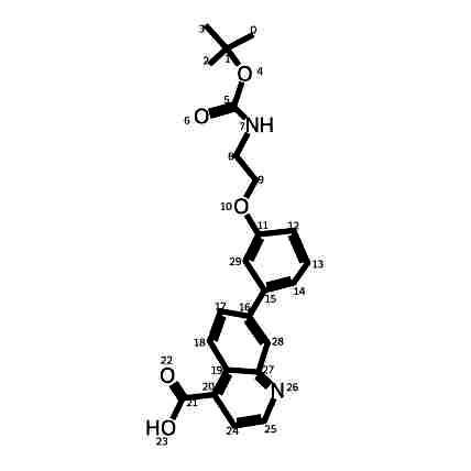 CC(C)(C)OC(=O)NCCOc1cccc(-c2ccc3c(C(=O)O)ccnc3c2)c1